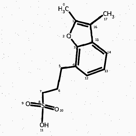 Cc1oc2c(CCCS(=O)(=O)O)cccc2c1C